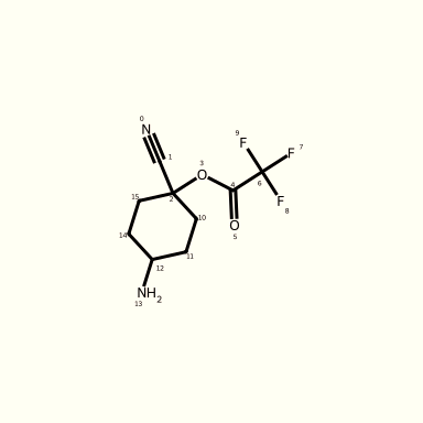 N#CC1(OC(=O)C(F)(F)F)CCC(N)CC1